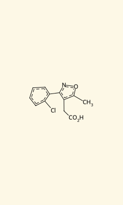 Cc1onc(-c2ccccc2Cl)c1CC(=O)O